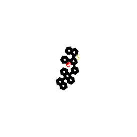 c1cc(-c2c3ccccc3c(-c3cccc4ccccc34)c3ccccc23)cc(-c2cc3sc4ccc5ccccc5c4c3c3c2oc2ccccc23)c1